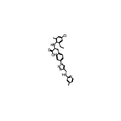 CCc1cc(Cl)cc(C)c1NC(Cc1ccc(-n2cc(CNc3cc(C)ccn3)nn2)cc1)C(=O)O